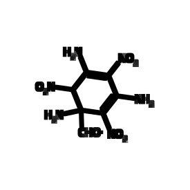 NC1=C([N+](=O)[O-])C(N)([C]=O)C([N+](=O)[O-])C(N)=C1[N+](=O)[O-]